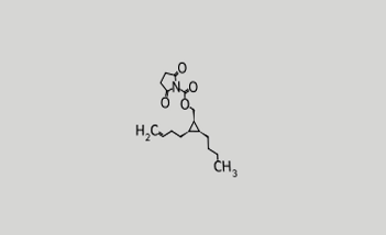 C=CCC[C@@H]1[C@H](CCCC)[C@@H]1COC(=O)N1C(=O)CCC1=O